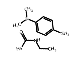 CCNC(=O)S.CN(C)c1ccc(N)cc1